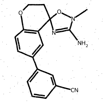 CN1OC2(CCOc3ccc(-c4cccc(C#N)c4)cc32)N=C1N